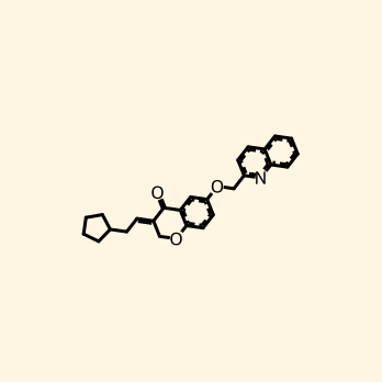 O=C1/C(=C/CC2CCCC2)COc2ccc(OCc3ccc4ccccc4n3)cc21